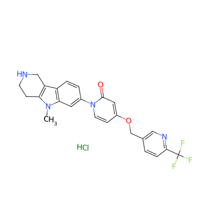 Cl.Cn1c2c(c3ccc(-n4ccc(OCc5ccc(C(F)(F)F)nc5)cc4=O)cc31)CNCC2